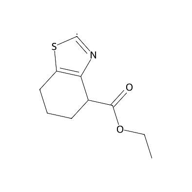 CCOC(=O)C1CCCc2s[c]nc21